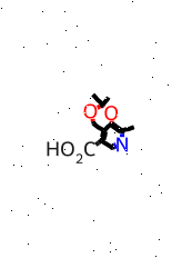 Cc1ncc(C(=O)O)c2c1OC(C)(C)OC2